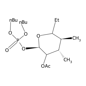 CCCCOP(=O)(OCCCC)O[C@H]1OC(CC)[C@@H](C)[C@H](C)C1OC(C)=O